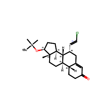 CC(C)(C)[Si](C)(C)O[C@H]1CC[C@H]2[C@H]3[C@H](CC[C@]12C)[C@H]1CCC(=O)C=C1C[C@H]3/C=C/Cl